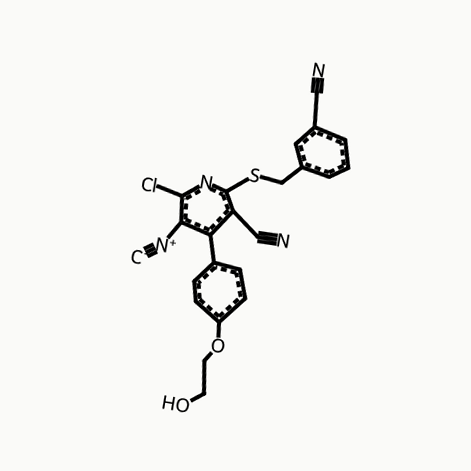 [C-]#[N+]c1c(Cl)nc(SCc2cccc(C#N)c2)c(C#N)c1-c1ccc(OCCO)cc1